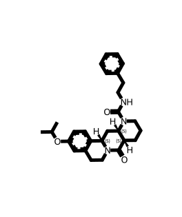 CC(C)Oc1ccc2c(c1)CCN1C(=O)[C@H]3CCCN(C(=O)NCCc4ccccc4)[C@H]3C[C@@H]21